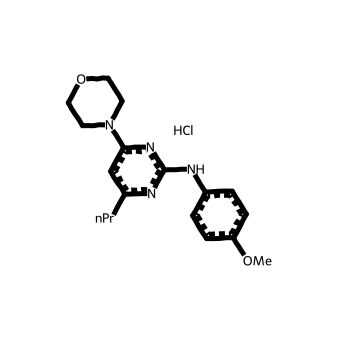 CCCc1cc(N2CCOCC2)nc(Nc2ccc(OC)cc2)n1.Cl